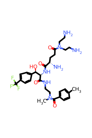 Cc1ccc(C(=O)N(C)CCNC(=O)[C@@H](NC(=O)[C@@H](N)CCC(=O)N(CCN)CCN)[C@H](O)c2ccc(C(F)(F)F)cc2)cc1